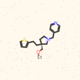 CCOC[C@@]1(CCc2cccs2)CCN(Cc2ccncc2)C1